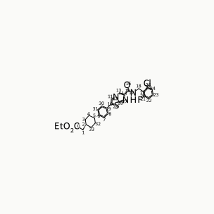 CCOC(=O)C[C@H]1CC[C@H](c2ccc(-c3cn4cc(C(=O)NCc5c(F)cccc5Cl)nc4s3)cc2)CC1